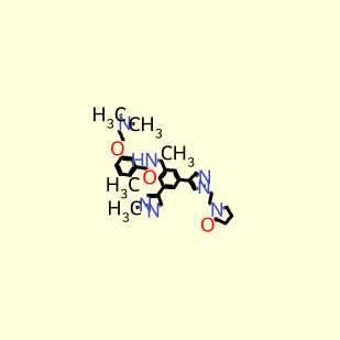 Cc1ccc(OCCN(C)C)cc1C(=O)N[C@H](C)c1cc(-c2cnn(C)c2)cc(-c2cnn(CCN3CCCC3=O)c2)c1